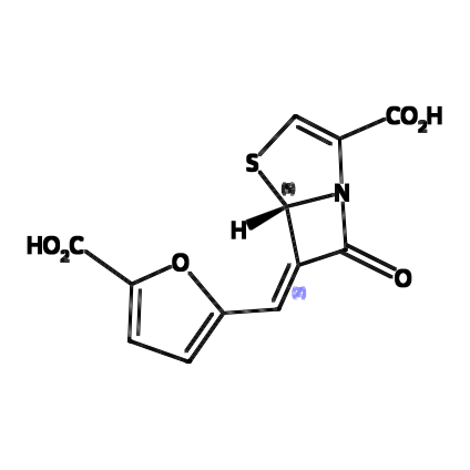 O=C(O)C1=CS[C@H]2/C(=C\c3ccc(C(=O)O)o3)C(=O)N12